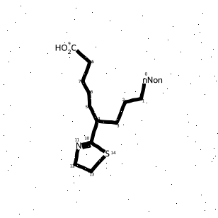 CCCCCCCCCCCCC(CCCCC(=O)O)C1=NCCS1